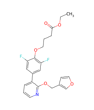 CCOC(=O)CCCOc1c(F)cc(-c2cccnc2OCc2ccoc2)cc1F